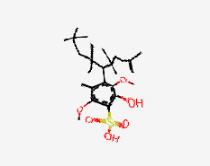 COc1c(O)c(S(=O)(=O)O)c(OC)c(C)c1C(C(C)(C)CC(C)C)C(C)(C)CC(C)(C)C